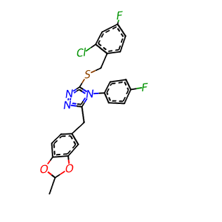 CC1Oc2ccc(Cc3nnc(SCc4ccc(F)cc4Cl)n3-c3ccc(F)cc3)cc2O1